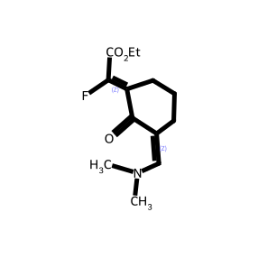 CCOC(=O)/C(F)=C1\CCC/C(=C/N(C)C)C1=O